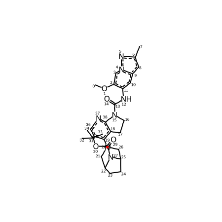 COc1cn2nc(C)cc2cc1NC(=O)N1CCc2c(N3CC4CCC(C3)N4C(=O)OC(C)(C)C)ccnc21